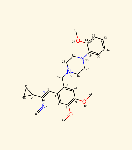 C=N/C(=C\c1cc(OC)c(OC)cc1CN1CCN(c2ccccc2OC)CC1)C1CC1